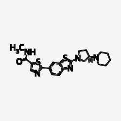 CNC(=O)c1cnc(-c2ccc3nc(N4CC[C@@H](N5CCCCC5)C4)sc3c2)s1